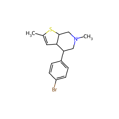 CC1=CC2C(CN(C)CC2c2ccc(Br)cc2)S1